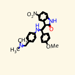 COc1ccc(C(Nc2ccc(CN(C)C)cc2)=C2C(=O)Nc3ccc([N+](=O)[O-])cc32)cc1